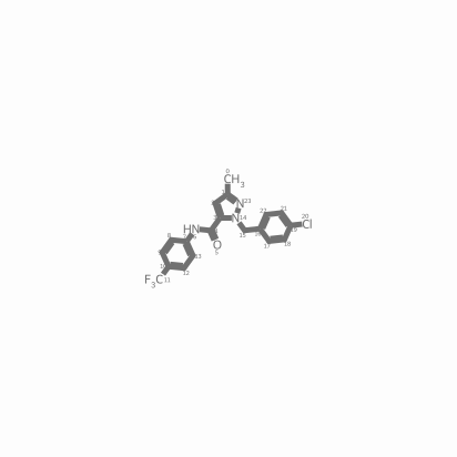 Cc1cc(C(=O)Nc2ccc(C(F)(F)F)cc2)n(Cc2ccc(Cl)cc2)n1